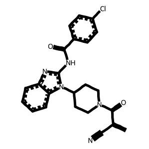 C=C(C#N)C(=O)N1CCC(n2c(NC(=O)c3ccc(Cl)cc3)nc3ccccc32)CC1